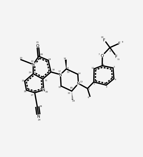 CC(c1cccc(OC(F)(F)F)c1)N1C[C@H](C)N(c2cc(=O)n(C)c3ccc(C#N)nc23)C[C@H]1C